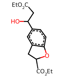 CCOC(=O)CC(O)c1ccc2c(c1)CC(C(=O)OCC)O2